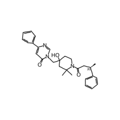 C[C@H](CC(=O)N1CCC(O)(Cn2cnc(-c3ccccc3)cc2=O)CC1(C)C)c1ccccc1